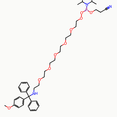 COc1ccc(C(NCCOCCOCCOCCOCCOCCOOP(OCCC#N)N(C(C)C)C(C)C)(c2ccccc2)c2ccccc2)cc1